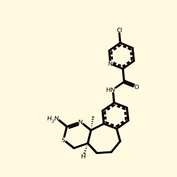 C[C@@]12N=C(N)SC[C@@H]1CCCc1ccc(NC(=O)c3ccc(Cl)cn3)cc12